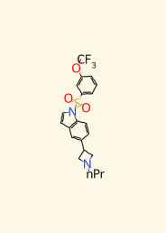 CCCN1CC(c2ccc3c(ccn3S(=O)(=O)c3cccc(OC(F)(F)F)c3)c2)C1